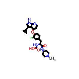 CN1CCC(NC(=O)C(Cc2ccc(Oc3ccnc4[nH]cc(C5CC5)c34)c(F)c2)NC(=O)O)CC1